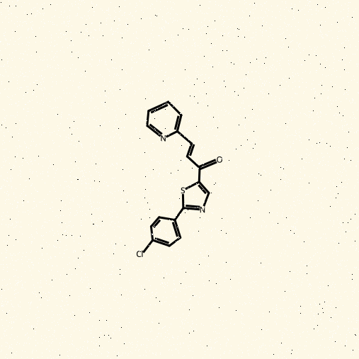 O=C(C=Cc1ccccn1)c1[c]nc(-c2ccc(Cl)cc2)s1